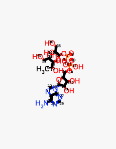 C[C@H](O)C(OC(OP(=O)(O)OP(=O)(O)OCC1OC(n2cnc3c(N)ncnc32)C(O)C1O)[C@H](O)CO)[C@H](O)CO